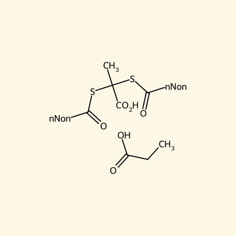 CCC(=O)O.CCCCCCCCCC(=O)SC(C)(SC(=O)CCCCCCCCC)C(=O)O